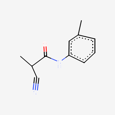 Cc1cccc(NC(=O)C(C)C#N)c1